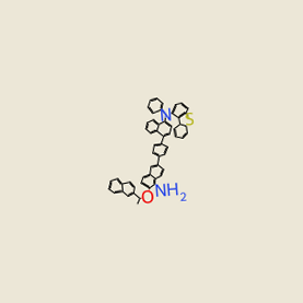 CC(Oc1ccc2cc(-c3ccc(-c4ccc(N(c5ccccc5)c5cccc6c5C5C=CC=CC5S6)c5ccccc45)cc3)ccc2c1N)c1ccc2ccccc2c1